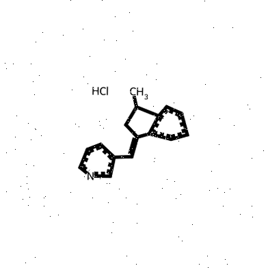 CC1CC(=Cc2cccnc2)c2ccccc21.Cl